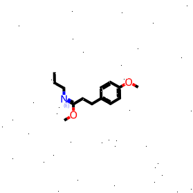 CCC/N=C(\CCc1ccc(OC)cc1)OC